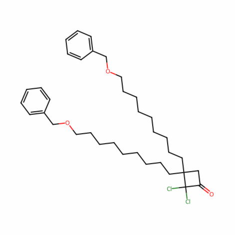 O=C1CC(CCCCCCCCCOCc2ccccc2)(CCCCCCCCCOCc2ccccc2)C1(Cl)Cl